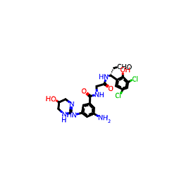 Nc1cc(NC2=NCC(O)CN2)cc(C(=O)NCC(=O)N[C@H](CC=O)c2cc(Cl)cc(Cl)c2O)c1